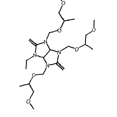 C=C1N(CC)C2C(N1COC(C)COC)N(COC(C)COC)C(=C)N2COC(C)COC